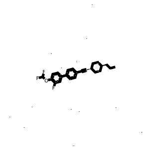 CCC[C@H]1CC[C@H](C#Cc2ccc(-c3ccc(OC(F)F)c(F)c3)cc2)CC1